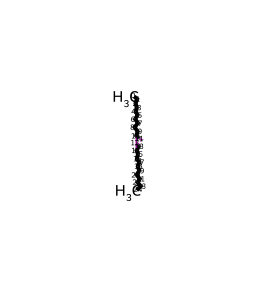 CCCCCCCCCCCC[I+]CCCCCCCCCCCC